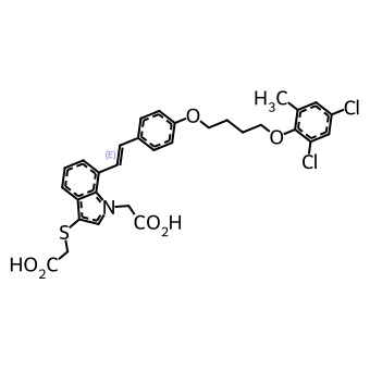 Cc1cc(Cl)cc(Cl)c1OCCCCOc1ccc(/C=C/c2cccc3c(SCC(=O)O)cn(CC(=O)O)c23)cc1